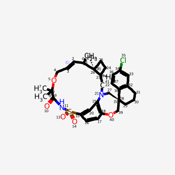 C[C]1/C=C/COC(C)(C)C(=O)NS(=O)(=O)c2ccc3c(c2)N(C[C@@H]2CC[C@H]12)C[C@@]1(CCCc2cc(Cl)ccc21)CO3